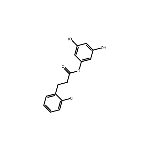 O=C(CCc1ccccc1Cl)Oc1cc(O)cc(O)c1